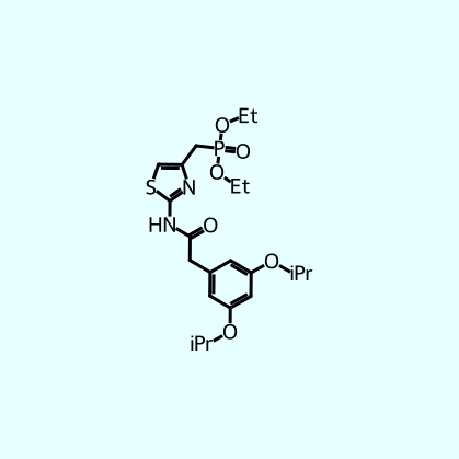 CCOP(=O)(Cc1csc(NC(=O)Cc2cc(OC(C)C)cc(OC(C)C)c2)n1)OCC